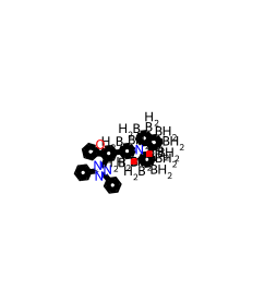 Bc1cc(N(c2c(B)c(B)c(-c3cc(-c4nc(-c5ccccc5)nc(-c5ccccc5)n4)c4c(c3)oc3ccccc34)c(B)c2B)c2cc(B)c(B)c3c(B)c(B)c(B)c(B)c23)c(B)c(B)c1B